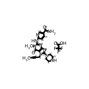 CC#CCn1c(N2CCNCC2)nc2nc(Nc3ccc(C(N)=O)cn3)n(C)c(=O)c21.O=C(O)C(F)(F)F